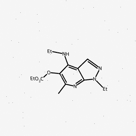 CCNc1c(OC(=O)OCC)c(C)nc2c1cnn2CC